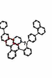 c1ccc(-c2cccc(-c3ccc(N(c4ccc(-c5cccc6ccccc56)cc4)c4ccccc4-c4cc5ccccc5c5ccccc45)cc3)c2)cc1